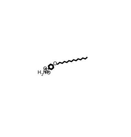 CCCCCCCCCCCCCCOc1ccc(S(N)(=O)=O)cc1